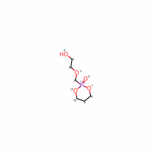 O=P1(COCCO)OCCCO1